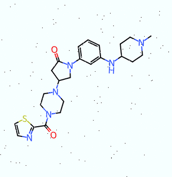 CN1CCC(Nc2cccc(N3CC(N4CCN(C(=O)c5nccs5)CC4)CC3=O)c2)CC1